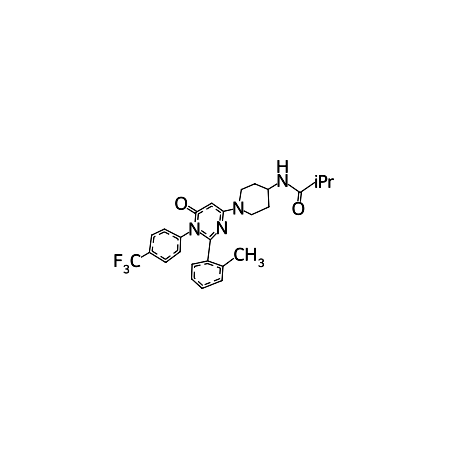 Cc1ccccc1-c1nc(N2CCC(NC(=O)C(C)C)CC2)cc(=O)n1-c1ccc(C(F)(F)F)cc1